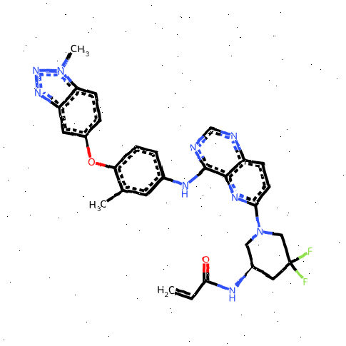 C=CC(=O)N[C@H]1CN(c2ccc3ncnc(Nc4ccc(Oc5ccc6c(c5)nnn6C)c(C)c4)c3n2)CC(F)(F)C1